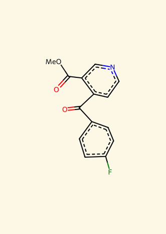 COC(=O)c1cnccc1C(=O)c1ccc(F)cc1